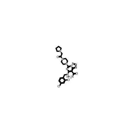 NC(=O)c1c(NCc2ccc(Cl)cc2Cl)nc(N2CCN(C(=O)CN3CCCC3)CC2)n2nnnc12